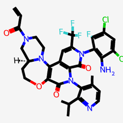 C=CC(=O)N1CCN2c3c(c(=O)n(-c4c(C)ccnc4C(C)C)c4c(=O)n(-c5c(N)c(Cl)cc(Cl)c5F)c(C(F)(F)F)cc34)OCC[C@H]2C1